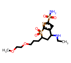 CCNC1CC(CCCOCCOC)S(=O)(=O)c2sc(S(N)(=O)=O)cc21